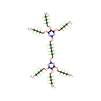 FC(F)(F)C(F)(F)C(F)(F)C(F)(F)COc1nc(OCC(F)(F)C(F)(F)C(F)(F)C(F)(F)COc2nc(OCC(F)(F)C(F)(F)C(F)(F)C(F)(F)F)c(OCC(F)(F)C(F)(F)C(F)(F)C(F)(F)F)c(OCC(F)(F)C(F)(F)C(F)(F)C(F)(F)F)n2)nc(OCC(F)(F)C(F)(F)C(F)(F)C(F)(F)F)c1OCC(F)(F)C(F)(F)C(F)(F)C(F)(F)F